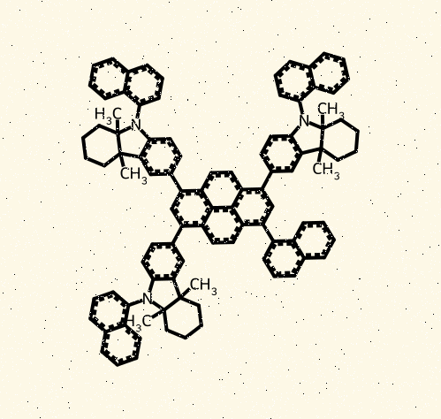 CC12CCCCC1(C)N(c1cccc3ccccc13)c1ccc(-c3cc(-c4ccc5c(c4)C4(C)CCCCC4(C)N5c4cccc5ccccc45)c4ccc5c(-c6cccc7ccccc67)cc(-c6ccc7c(c6)C6(C)CCCCC6(C)N7c6cccc7ccccc67)c6ccc3c4c65)cc12